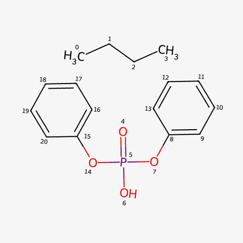 CCCC.O=P(O)(Oc1ccccc1)Oc1ccccc1